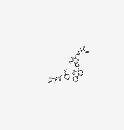 COc1nc(-c2cccc(-c3cccc(-c4cc5c(=O)n(C)c(CNCC(C)(C)C(=O)O)nn5c4)c3Cl)c2Cl)ccc1CNC[C@H]1CCC(=O)N1